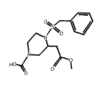 COC(=O)CC1CN(C(=O)O)CCN1S(=O)(=O)Cc1ccccc1